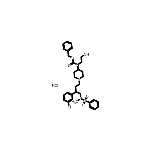 CN(CC(CCN1CCC(N(CCO)C(=O)OCc2ccccc2)CC1)c1cccc(Cl)c1)S(=O)(=O)c1ccccc1.Cl